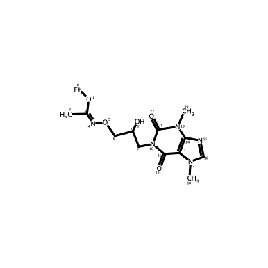 CCOC(C)=NOCC(O)Cn1c(=O)c2c(ncn2C)n(C)c1=O